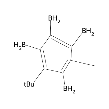 Bc1c(B)c(C)c(B)c(C(C)(C)C)c1B